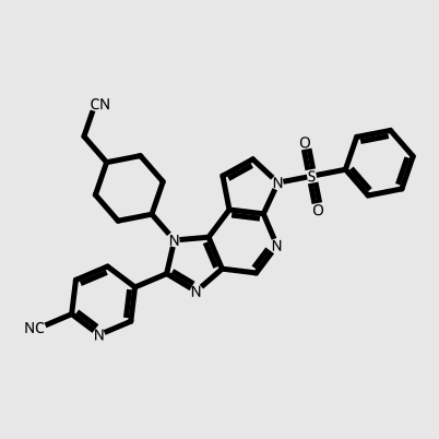 N#CCC1CCC(n2c(-c3ccc(C#N)nc3)nc3cnc4c(ccn4S(=O)(=O)c4ccccc4)c32)CC1